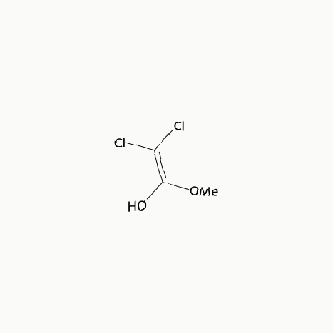 COC(O)=C(Cl)Cl